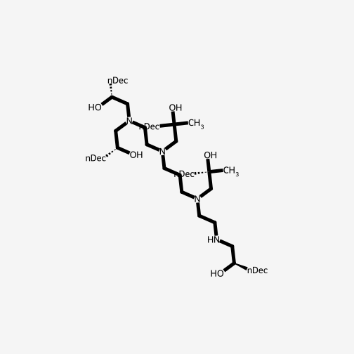 CCCCCCCCCC[C@@H](O)CNCCN(CCCN(CCN(C[C@H](O)CCCCCCCCCC)C[C@H](O)CCCCCCCCCC)CC(C)(O)CCCCCCCCCC)C[C@](C)(O)CCCCCCCCCC